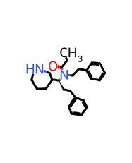 CCC(=O)N(CCc1ccccc1)[C@@H](CCc1ccccc1)C1CCCCNC1